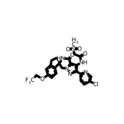 CS(=O)(=O)CC(=O)Nc1c(-c2ccc(Cl)cn2)nn2c1C(=O)N[C@]1(CCc3cc(OCC(F)(F)F)ccc31)C2